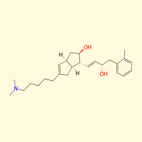 Cc1ccccc1C[C@H](O)/C=C/[C@@H]1[C@H]2CC(CCCCCN(C)C)=C[C@H]2C[C@H]1O